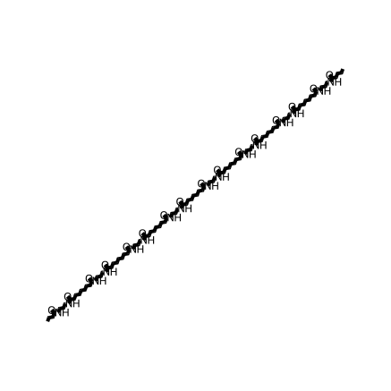 CCCCC(=O)NCCCNC(=O)CCCCCCCC(=O)NCCCNC(=O)CCCCCCCC(=O)NCCCNC(=O)CCCCCCCC(=O)NCCCNC(=O)CCCCCCCC(=O)NCCCNC(=O)CCCCCCCC(=O)NCCCNC(=O)CCCCCCCC(=O)NCCCNC(=O)CCCCCCCC(=O)NCCCNC(=O)CCC